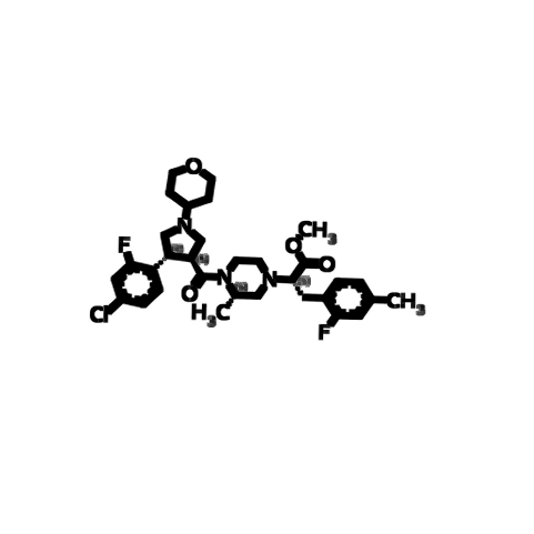 COC(=O)[C@H](Cc1ccc(C)cc1F)N1CCN(C(=O)[C@@H]2CN(C3CCOCC3)C[C@H]2c2ccc(Cl)cc2F)[C@@H](C)C1